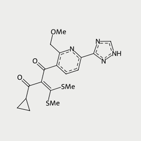 COCc1nc(-c2nc[nH]n2)ccc1C(=O)C(C(=O)C1CC1)=C(SC)SC